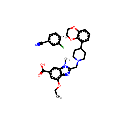 CCOc1cc(C(=O)O)cc2c1nc(CN1CCC(c3cccc4c3O[C@H](c3ccc(C#N)cc3F)CO4)CC1)n2C